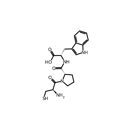 N[C@@H](CS)C(=O)N1CCC[C@H]1C(=O)N[C@@H](Cc1c[nH]c2ccccc12)C(=O)O